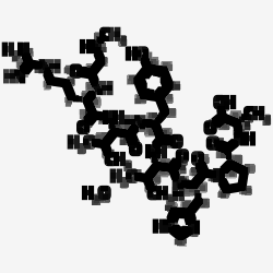 CNCC(=O)N[C@@H](CCCNC(=N)N)C(=O)N[C@H](C(=O)N[C@@H](Cc1ccc(O)cc1)C(=O)N[C@H](C(=O)N[C@@H](Cc1c[nH]cn1)C(=O)N1CCC[C@H]1C(=O)N[C@@H](C)C(=O)O)C(C)C)C(C)C.O